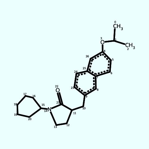 CC(C)Oc1ccc2cc(CC3CCN(C4CCCCC4)C3=O)ccc2c1